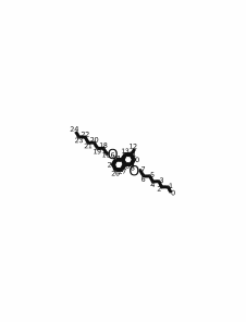 CCCCCCCCOc1cc(C)cc2c(OCCCCCCCC)cccc12